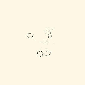 C[C@@]1(OCc2ccccc2)[C@H](OCc2ccccc2)C(COCc2ccccc2)O[C@H]1c1ccc2c(N)ncnn12